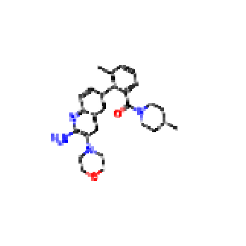 Cc1cccc(C(=O)N2CCC(C)CC2)c1-c1ccc2nc(N)c(N3CCOCC3)cc2c1